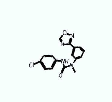 CN(C(=O)Nc1ccc(Cl)cc1)c1cccc(-c2ncon2)c1